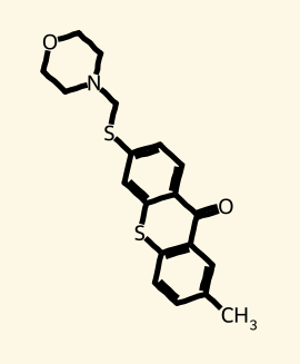 Cc1ccc2sc3cc(SCN4CCOCC4)ccc3c(=O)c2c1